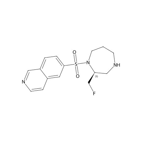 O=S(=O)(c1ccc2cnccc2c1)N1CCCNC[C@H]1CF